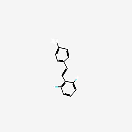 O=[N+]([O-])c1ccc(/C=C/c2c(F)cccc2F)cc1